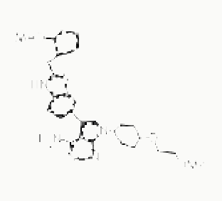 COCCO[C@H]1CC[C@H](n2cc(-c3ccc4[nH]c(Cc5ccccc5OC)nc4c3)c3c(N)ncnc32)CC1